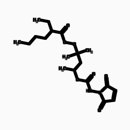 CCCCC(CC)C(=O)OOC(C)(C)CC(C)OC(=O)NN1C(=O)C=CC1=O